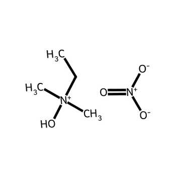 CC[N+](C)(C)O.O=[N+]([O-])[O-]